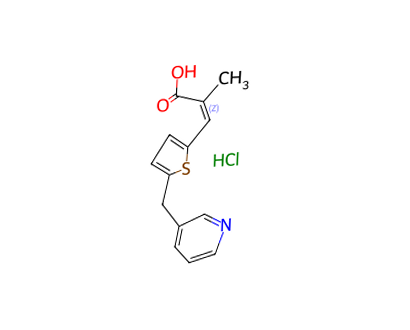 C/C(=C/c1ccc(Cc2cccnc2)s1)C(=O)O.Cl